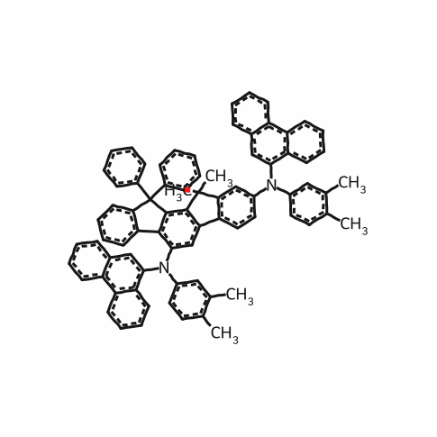 Cc1ccc(N(c2ccc3c(c2)C(C)(C)c2c-3cc(N(c3ccc(C)c(C)c3)c3cc4ccccc4c4ccccc34)c3c2C(c2ccccc2)(c2ccccc2)c2ccccc2-3)c2cc3ccccc3c3ccccc23)cc1C